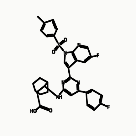 Cc1ccc(S(=O)(=O)n2cc(-c3nc(NC4C5CCC(CC5)C4C(=O)O)cc(-c4ccc(F)cc4)n3)c3cc(F)cnc32)cc1